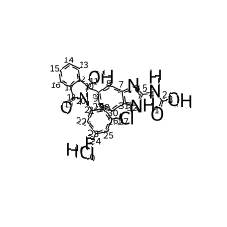 Cl.O=C(O)Nc1nc2cc(C3(O)c4ccccc4C(=O)N3c3cc(F)cc(Cl)c3)ccc2[nH]1